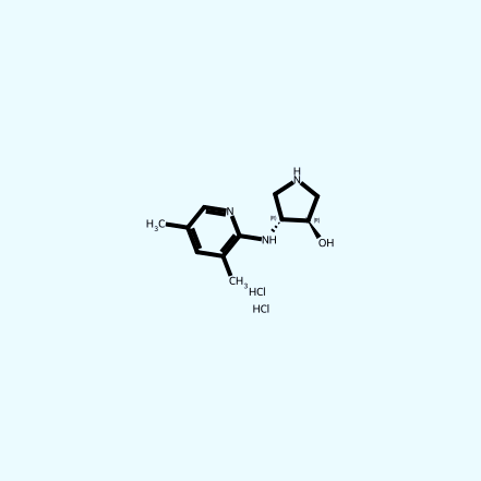 Cc1cnc(N[C@@H]2CNC[C@H]2O)c(C)c1.Cl.Cl